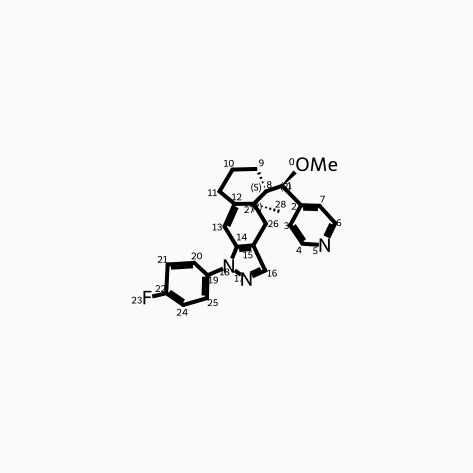 CO[C@@H](c1ccncc1)[C@H]1CCCC2=Cc3c(cnn3-c3ccc(F)cc3)C[C@@]21C